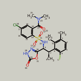 Cc1ccc(F)c([C@@H](C)[C@H](NS(=O)(=O)c2ccc(Cl)cc2C(=O)N(C)C)c2n[nH]c(=O)o2)c1C